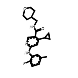 Cc1ccc(F)c(Nc2cc(C3CC3)c(C(=O)NCC3CCOCC3)cn2)c1